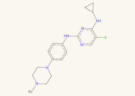 CC(=O)N1CCN(c2ccc(Nc3ncc(F)c(NC4CC4)n3)cc2)CC1